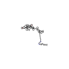 CCCCC/C=C\C/C=C\CCCCCCCC(=O)O[C@H](CCN(C)C)COC(=O)CCC(=O)OCC(=O)[C@@]1(O)[C@H](C)CC2[C@@H]3CCC4=CC(=O)C=C[C@]4(C)[C@@]3(F)[C@@H](O)C[C@@]21C